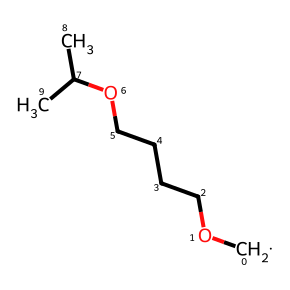 [CH2]OCCCCOC(C)C